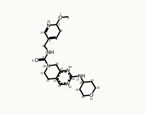 COC1CC=C(CNC(=O)N2CCc3cnc(NC4CCOCC4)nc3C2)C=N1